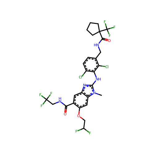 Cn1c(Nc2c(Cl)ccc(CNC(=O)C3(C(F)(F)F)CCCC3)c2Cl)nc2cc(C(=O)NCC(F)(F)F)c(OCC(F)F)cc21